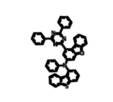 c1ccc(-c2nc(-c3ccccc3)nc(-c3cc(N(c4ccccc4)c4cccc5sc6ccccc6c45)cc4oc5ccccc5c34)n2)cc1